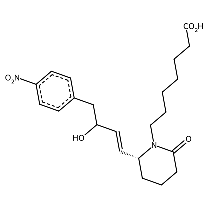 O=C(O)CCCCCCN1C(=O)CCC[C@@H]1/C=C/C(O)Cc1ccc([N+](=O)[O-])cc1